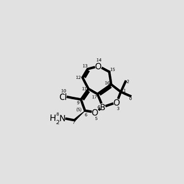 CC1(C)OB2O[C@@H](CN)C(Cl)=C3C=COCC1=C23